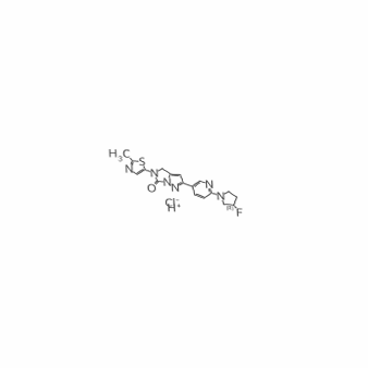 Cc1ncc(N2Cc3cc(-c4ccc(N5CC[C@@H](F)C5)nc4)nn3C2=O)s1.[Cl-].[H+]